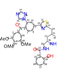 COc1cc(C(=O)c2ccc(-c3csc(CC(C)CC(N)CNC(=O)c4ccccc4O)n3)cc2-n2cncn2)cc(OC)c1OC